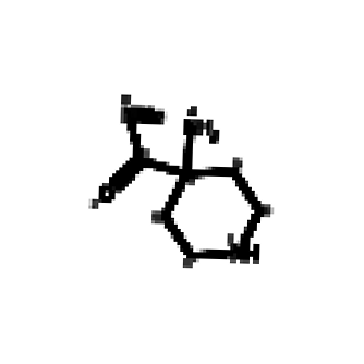 CNC(=O)C1(N)CCNCC1